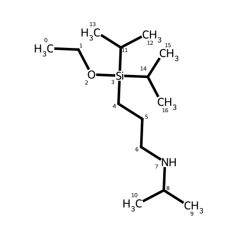 CCO[Si](CCCNC(C)C)(C(C)C)C(C)C